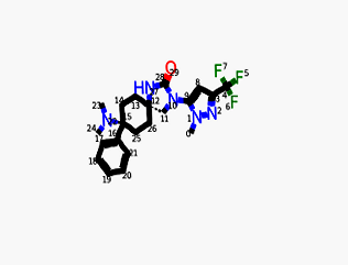 Cn1nc(C(F)(F)F)cc1N1C[C@]2(CC[C@](c3ccccc3)(N(C)C)CC2)NC1=O